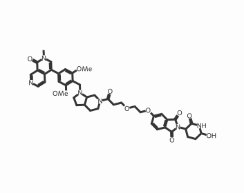 COc1cc(-c2cn(C)c(=O)c3cnccc23)cc(OC)c1CN1CCC2CCN(C(=O)CCOCCOc3ccc4c(c3)C(=O)N(C3CCC(O)NC3=O)C4=O)CC21